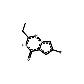 CCc1nn2cc(F)cc2c(=O)[nH]1